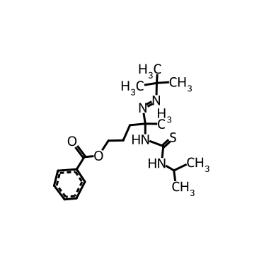 CC(C)NC(=S)NC(C)(CCCOC(=O)c1ccccc1)N=NC(C)(C)C